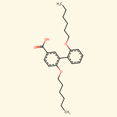 CCCCCCOc1ccccc1-c1cc(C(=O)O)ccc1OCCCCCC